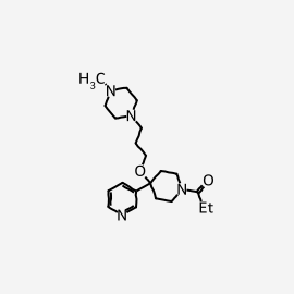 CCC(=O)N1CCC(OCCCN2CCN(C)CC2)(c2cccnc2)CC1